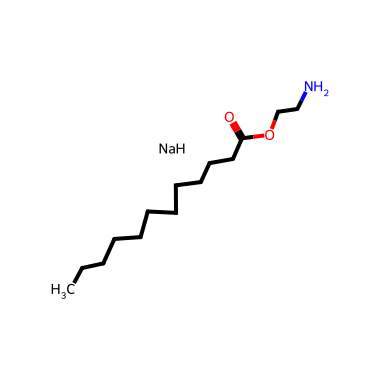 CCCCCCCCCCCC(=O)OCCN.[NaH]